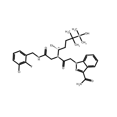 CC[C@H](CCC(C)(C)[Si](C)(C)O)N(CC(=O)NCc1cccc(Cl)c1F)C(=O)Cn1nc(C(N)=O)c2ccccc21